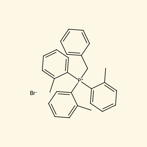 Cc1ccccc1[P+](Cc1ccccc1)(c1ccccc1C)c1ccccc1C.[Br-]